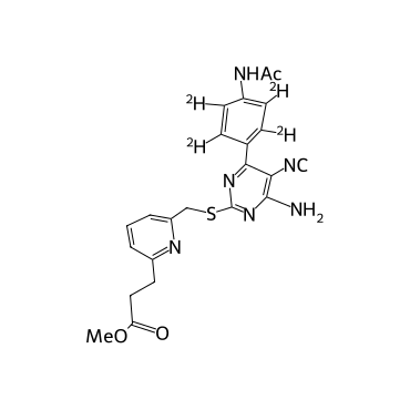 [2H]c1c([2H])c(-c2nc(SCc3cccc(CCC(=O)OC)n3)nc(N)c2[N+]#[C-])c([2H])c([2H])c1NC(C)=O